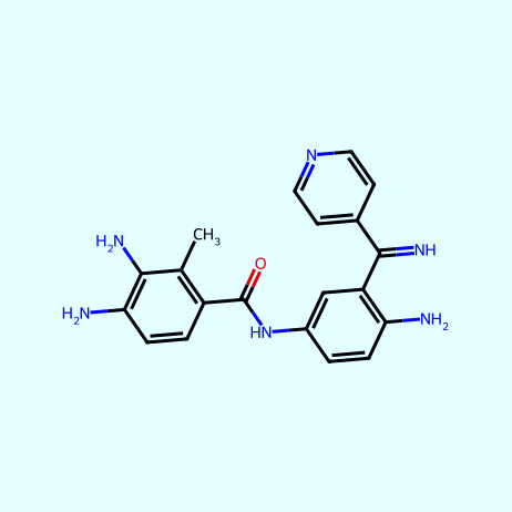 Cc1c(C(=O)Nc2ccc(N)c(C(=N)c3ccncc3)c2)ccc(N)c1N